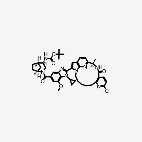 COc1cc(C(=O)N2C[C@H](NC(=O)OC(C)(C)C)[C@@H]3CC[C@H]2C3)cc2nc(-c3cc4ccc5nc4n3CCCCCc3nc(Cl)ccc3C(=O)N[C@@H]5C)n(C3CC3)c12